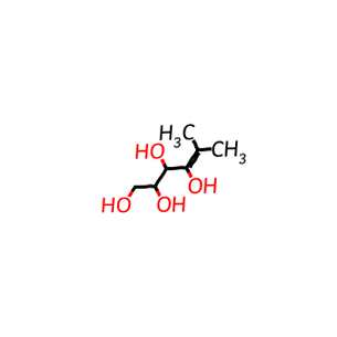 CC(C)=C(O)C(O)C(O)CO